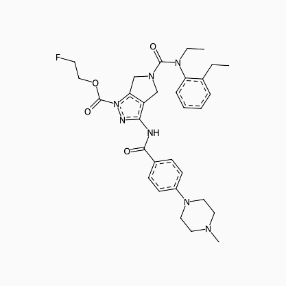 CCc1ccccc1N(CC)C(=O)N1Cc2c(NC(=O)c3ccc(N4CCN(C)CC4)cc3)nn(C(=O)OCCF)c2C1